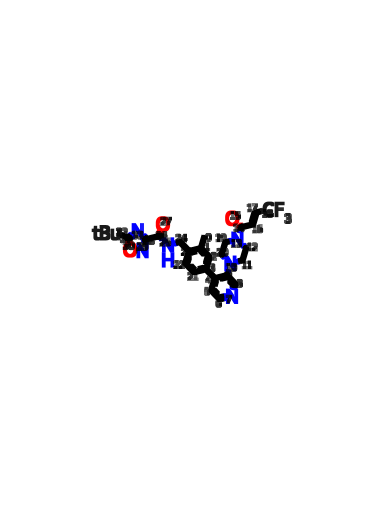 Cc1cc(-c2ccncc2N2CCN(C(=O)/C=C/C(F)(F)F)CC2)ccc1CNC(=O)c1noc(C(C)(C)C)n1